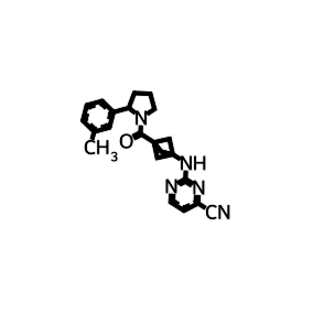 Cc1cccc(C2CCCN2C(=O)C23CC(Nc4nccc(C#N)n4)(C2)C3)c1